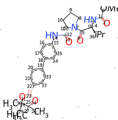 COC(=O)N[C@H](C(=O)N1CCC[C@H]1C(=O)Nc1ccc(-c2ccc(B3OC(C)(C)C(C)(C)O3)cc2)cc1)C(C)C